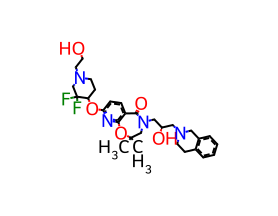 CC1(C)CN(C[C@H](O)CN2CCc3ccccc3C2)C(=O)c2ccc(OC3CCN(CCO)CC3(F)F)nc2O1